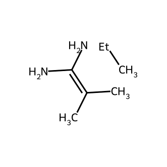 CC(C)=C(N)N.CCC